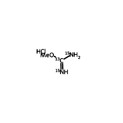 CO[13C](=[15NH])[15NH2].Cl